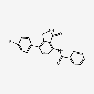 CCc1ccc(-c2ccc(NC(=O)c3ccccc3)c3c2CNC3=O)cc1